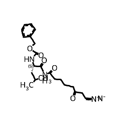 CC(C)C[C@H](NC(=O)OCc1ccccc1)C(=O)NC(=O)CCCCC(=O)CC=[N+]=[N-]